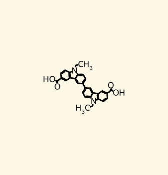 CCn1c2ccc(C(=O)O)cc2c2cc(-c3ccc4c(c3)c3cc(C(=O)O)ccc3n4CC)ccc21